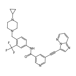 O=C(Nc1ccc(CN2CCN(C3CC3)CC2)c(C(F)(F)F)c1)c1cncc(C#Cc2cnc3cccnn23)c1